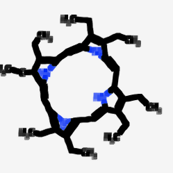 CCC1=C(CC)C2C=c3[nH]c(c(CC)c3CC)=CC3=C(CC)C(CC)C(=Cc4[nH]c(c(CC)c4CC)C=C1N2)N3